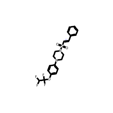 O=S(=O)(/C=C/c1ccccc1)N1CCN(c2ccc(OC(F)(F)C(F)F)cc2)CC1